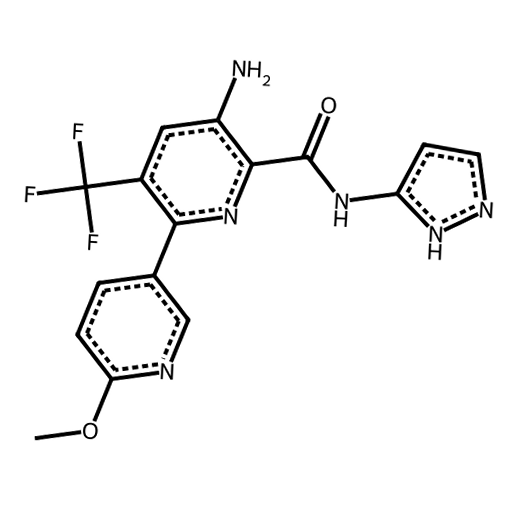 COc1ccc(-c2nc(C(=O)Nc3ccn[nH]3)c(N)cc2C(F)(F)F)cn1